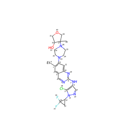 CCc1cc2cnc(Nc3cnn(C4CC4(F)F)c3Cl)nc2cc1N1CCN(C2(C)COCC2O)CC1